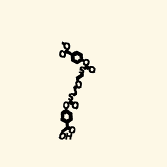 COC(=O)c1ccc(OC(=O)SCCOCCSC(=O)Oc2ccc(C(=O)CO)cc2)cc1